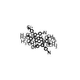 [C-]#[N+]c1ccc(-c2cc(-c3ccc(C#N)cc3)cc(N(c3cc(C(C)(C)C)cc(C(C)(C)C)c3)c3ccc4ccc5c(N(c6cc(-c7ccc(C#N)cc7)cc(-c7ccc([N+]#[C-])cc7)c6)c6cc(C(C)(C)C)cc(C(C)(C)C)c6)ccc6ccc3c4c65)c2)cc1